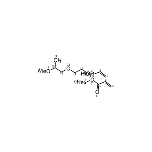 C=CC(=O)O.C=CC(=O)OCCCCCC.COC(O)COCCO